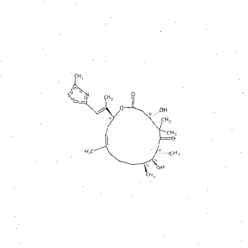 CC1=CC[C@@H](C(C)=Cc2csc(C)n2)OC(=O)C[C@H](O)C(C)(C)C(=O)[C@H](C)[C@@H](O)[C@@H](C)CCC1